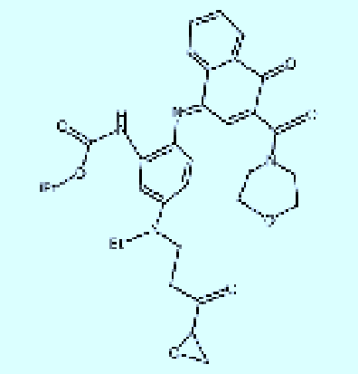 CCN(CCC(=O)C1CO1)c1ccc(N=C2C=C(C(=O)N3CCOCC3)C(=O)c3ccccc32)c(NC(=O)OC(C)C)c1